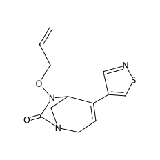 C=CCON1C(=O)N2CC=C(c3cnsc3)C1C2